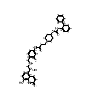 O=C(CCN1CCC(OC(=O)Nc2ccccc2-c2ccccc2)CC1)Nc1ccc(CNC[C@H](O)c2ccc(O)c3[nH]c(=O)ccc23)c(Cl)c1